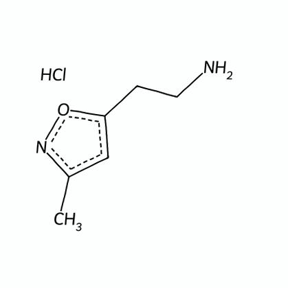 Cc1cc(CCN)on1.Cl